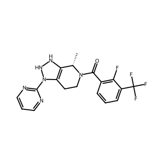 C[C@H]1C2=C(CCN1C(=O)c1cccc(C(F)(F)F)c1F)N(c1ncccn1)NN2